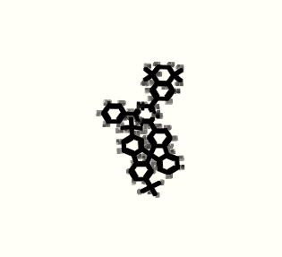 CC(C)(C)c1ccc2c(c1)C1(c3ccccc3-c3ccc(-c4nc(-c5ccccc5)nc(-c5ccc6c(c5)C(C)(C)CCC6(C)C)n4)cc31)c1cc(C(C)(C)C)ccc1-2